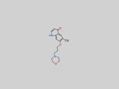 N#Cc1cc2c(=O)cc[nH]c2cc1OCCCN1CCOCC1